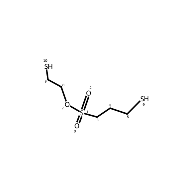 O=S(=O)(CCCS)OCCS